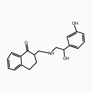 O=C1c2ccccc2CCC1CNCC(O)c1cccc(O)c1